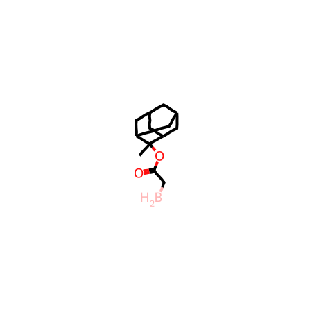 BCC(=O)OC1(C)C2CC3CC(C2)CC1C3